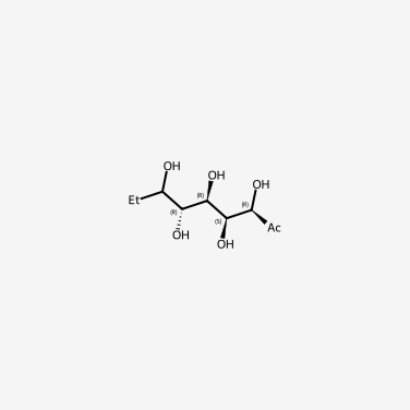 CCC(O)[C@@H](O)[C@@H](O)[C@H](O)[C@@H](O)C(C)=O